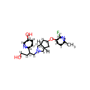 Cc1ccc(O[C@H]2C[C@@H]3CN(CC(CCO)c4ccc(O)cn4)C[C@@H]3C2)c(F)n1